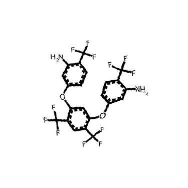 Nc1cc(Oc2cc(Oc3ccc(C(F)(F)F)c(N)c3)c(C(F)(F)F)cc2C(F)(F)F)ccc1C(F)(F)F